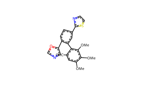 COc1cc(C=O)c(-c2cc(-c3nccs3)ccc2-c2cnco2)c(OC)c1OC